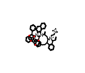 C=CC1=[N+](CC[Si](C)(C)C)C2CC(=C)[n+]3c(n(-c4c(-c5ccccc5)cccc4-c4ccccc4)c4ccc5ccccc5c43)-c3c(ccc4c3oc3ccccc34)CCC2c2ccccc21